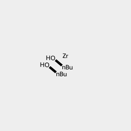 CCCCO.CCCCO.[Zr]